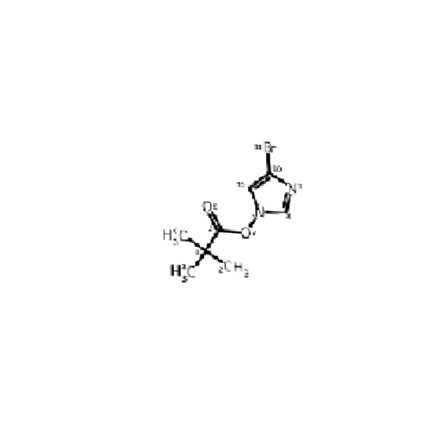 CC(C)(C)C(=O)On1cnc(Br)c1